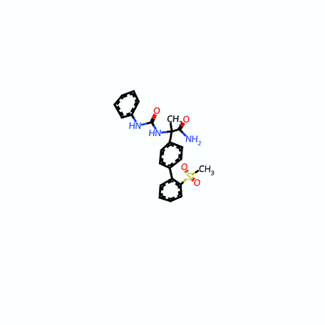 CC(NC(=O)Nc1ccccc1)(C(N)=O)c1ccc(-c2ccccc2S(C)(=O)=O)cc1